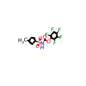 Cc1ccc(S(=O)(=O)NC(=O)Oc2c(F)c(F)c(F)c(F)c2F)cc1